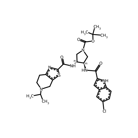 CC(C)N1CCc2nc(C(=O)N[C@@H]3CN(C(=O)OC(C)(C)C)C[C@H]3NC(=O)c3cc4cc(Cl)ccc4[nH]3)sc2C1